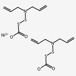 C=CCN(CC=C)SSC(=O)[O-].C=CCN(CC=C)SSC(=O)[O-].[Ni+2]